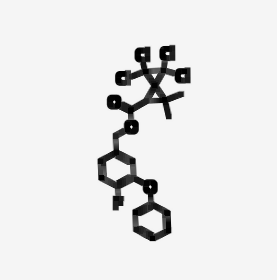 CC1(C)C(C(=O)OCc2ccc(F)c(Oc3ccccc3)c2)C12C(Cl)(Cl)C2(Cl)Cl